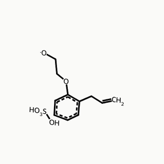 C=CCc1ccccc1OCC[O].O=S(=O)(O)O